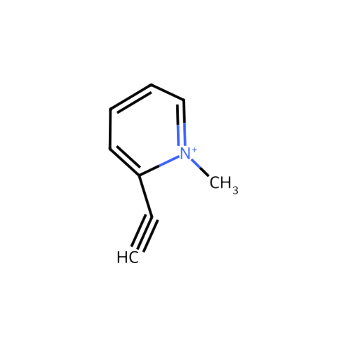 C#Cc1cccc[n+]1C